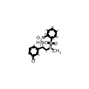 CN(C[C@@H](N)c1cccc(Cl)c1)S(=O)(=O)c1ccccc1[N+](=O)[O-]